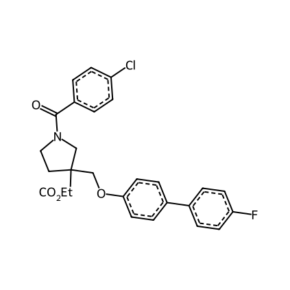 CCOC(=O)C1(COc2ccc(-c3ccc(F)cc3)cc2)CCN(C(=O)c2ccc(Cl)cc2)C1